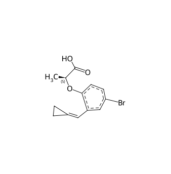 C[C@H](Oc1ccc(Br)cc1C=C1CC1)C(=O)O